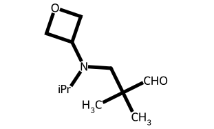 CC(C)N(CC(C)(C)C=O)C1COC1